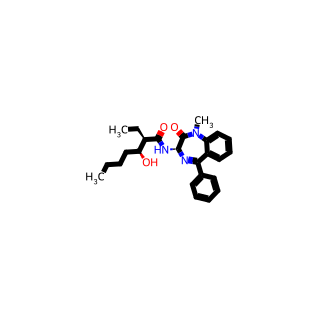 CCCC[C@H](O)[C@@H](CC)C(=O)N[C@H]1N=C(c2ccccc2)c2ccccc2N(C)C1=O